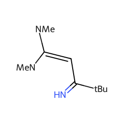 CNC(=CC(=N)C(C)(C)C)NC